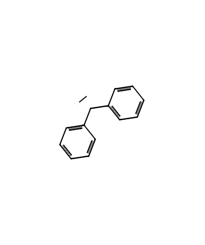 NO.c1ccc(Cc2ccccc2)cc1